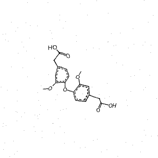 COc1cc(CC(=O)O)ccc1Oc1ccc(CC(=O)O)cc1OC